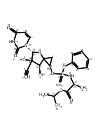 C#C[C@@]1(O)[C@H](O)C2(C[C@H]2OP(=S)(N[C@@H](C)C(=O)OC(C)C)Oc2ccccc2)O[C@H]1n1ccc(=O)[nH]c1=O